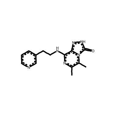 Cc1nc(NCCc2cccnc2)c2n[nH]c(=O)n2c1C